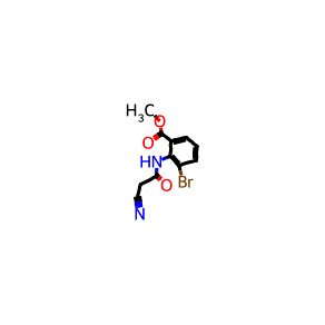 COC(=O)c1cccc(Br)c1NC(=O)CC#N